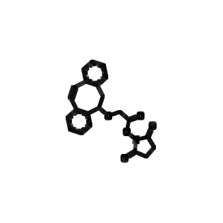 O=C(COC1Cc2ccccc2C#Cc2ccccc21)ON1C(=O)CCC1=O